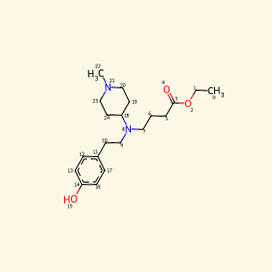 CCOC(=O)CCCN(CCc1ccc(O)cc1)C1CCN(C)CC1